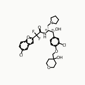 O=C(N[C@H](CN1CCCC1)[C@H](O)c1ccc(OCC2(O)CCOCC2)c(Cl)c1)C(F)(F)c1cc2cc(Cl)ccc2o1